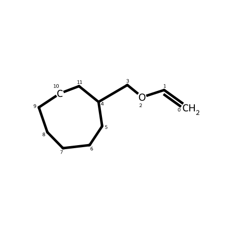 C=COCC1CCCCCCC1